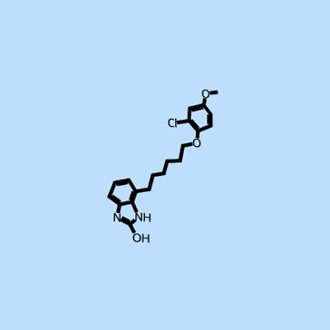 COc1ccc(OCCCCCCc2cccc3nc(O)[nH]c23)c(Cl)c1